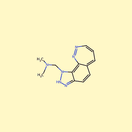 CN(C)CN1NN=c2ccc3c(c21)N=NC=CC=3